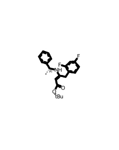 C[C@@H](NC(=CC(=O)OC(C)(C)C)Cc1ccc(F)cc1F)c1ccccc1